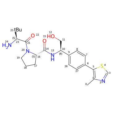 Cc1ncsc1-c1ccc([C@H](CO)NC(=O)[C@@H]2CCCN2C(=O)[C@@H](N)C(C)(C)C)cc1